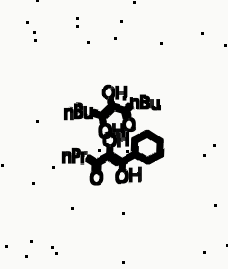 CCCC(=O)C(O)=C(O)C1CCCCC1.CCCCC(=O)C(O)=C(O)CCCC